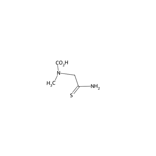 CN(CC(N)=S)C(=O)O